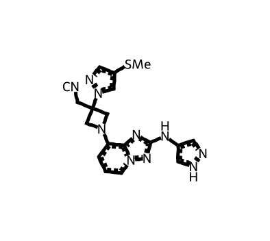 CSc1cnn(C2(CC#N)CN(c3cccn4nc(Nc5cn[nH]c5)nc34)C2)c1